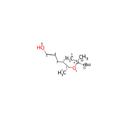 C[C@H](CCCCO)O[Si](C)(C)C(C)(C)C